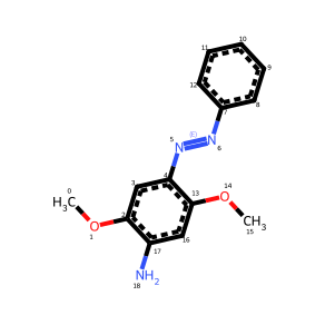 COc1cc(/N=N/c2ccccc2)c(OC)cc1N